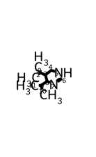 CC(C)C1CNC=NC1C(C)C